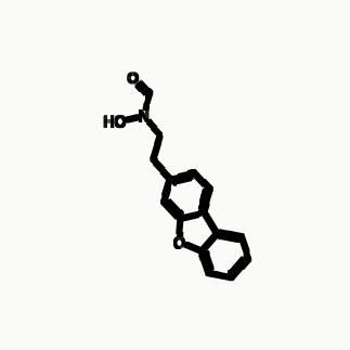 O=CN(O)CCc1ccc2c(c1)oc1ccccc12